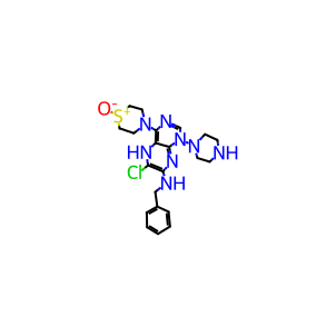 [O-][S+]1CCN(C2=C3NC(Cl)=C(NCc4ccccc4)N=C3N(N3CCNCC3)C=N2)CC1